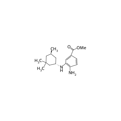 COC(=O)c1ccc(N)c(N[C@H]2C[C@H](C)CC(C)(C)C2)c1